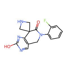 O=C1N(c2ccccc2F)Cc2cnc(O)nc2C12CNC2